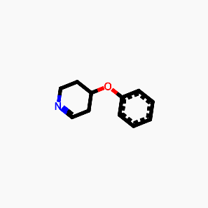 C1=NCCC(Oc2ccccc2)C1